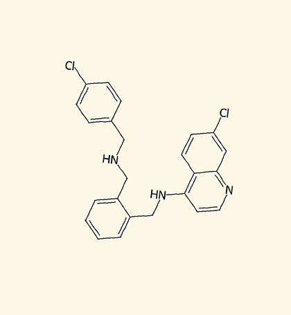 Clc1ccc(CNCc2ccccc2CNc2ccnc3cc(Cl)ccc23)cc1